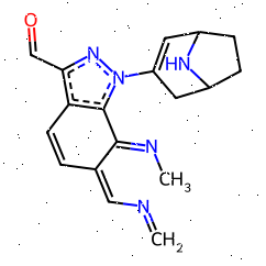 C=N/C=C1/C=Cc2c(C=O)nn(C3=CC4CCC(C3)N4)c2/C1=N/C